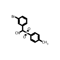 [C-]#[N+]C(c1cccc(Br)c1)S(=O)(=O)c1ccc(C)cc1